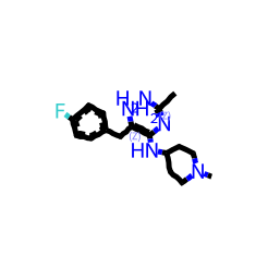 C/C(N)=N/C(NC1CCN(C)CC1)=C(\N)Cc1ccc(F)cc1